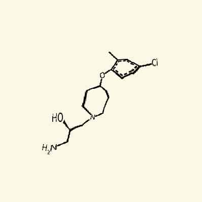 Cc1cc(Cl)ccc1OC1CCN(C[C@H](O)CN)CC1